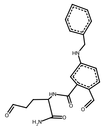 NC(=O)C(CCC=O)NC(=O)c1cc(NCc2ccccc2)ccc1C=O